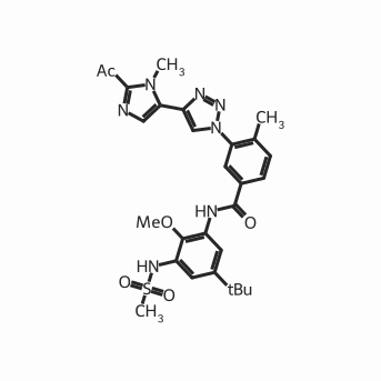 COc1c(NC(=O)c2ccc(C)c(-n3cc(-c4cnc(C(C)=O)n4C)nn3)c2)cc(C(C)(C)C)cc1NS(C)(=O)=O